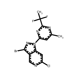 Cc1cc(-n2nc(Br)c3cnc(Cl)cc32)nc(C(C)(F)F)n1